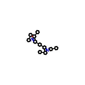 c1ccc(-c2ccc(-n3c4ccc(-c5ccc(-c6ccc7c(c6)c6cc(-c8ccccc8)ccc6n7-c6ccccc6-c6ccccc6)cc5)cc4c4c(-c5ccccc5)cccc43)cc2)cc1